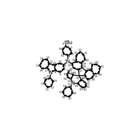 CC(C)(C)c1ccc(N(c2ccc3c(c2)c2ccccc2n3-c2ccccc2)c2cc3c(c4ccccc24)-c2c(ccc4ccccc24)C32c3ccccc3N(c3ccccc3)c3ccccc32)cc1